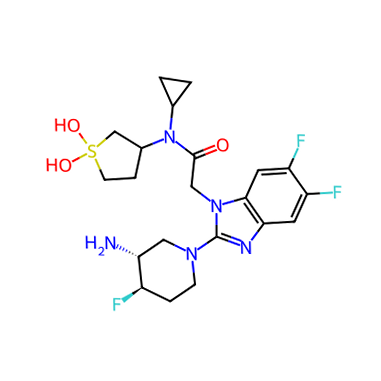 N[C@@H]1CN(c2nc3cc(F)c(F)cc3n2CC(=O)N(C2CC2)C2CCS(O)(O)C2)CC[C@H]1F